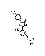 CC(C)C(=O)NCc1ccc(Cl)c(-c2nn(-c3ccc(C(F)(F)F)cc3)c(=O)[nH]2)c1